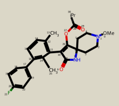 CON1CCC2(CC1)NC(=O)C(c1c(C)ccc(-c3ccc(F)cc3)c1C)=C2OC(=O)C(C)C